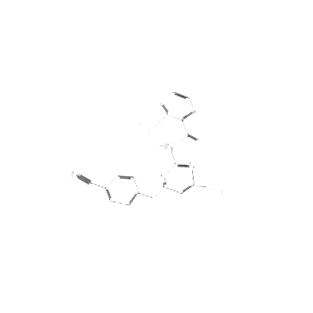 Cc1cc(Oc2ccc(C#N)cc2)nc(NC(=O)c2ccccc2C)n1